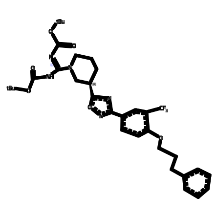 CC(C)(C)OC(=O)/N=C(/NC(=O)OC(C)(C)C)N1CCC[C@@H](c2nc(-c3ccc(OCCCc4ccccc4)c(C(F)(F)F)c3)no2)C1